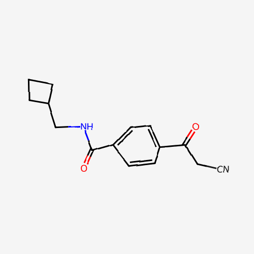 N#CCC(=O)c1ccc(C(=O)NCC2CCC2)cc1